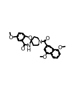 COc1ccc2c(c1)C(=O)NC1(CCN(C(=O)c3cc(OC)c4cccc(OC)c4c3)CC1)O2